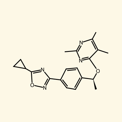 Cc1nc(C)c(C)c(O[C@@H](C)c2ccc(-c3noc(C4CC4)n3)cc2)n1